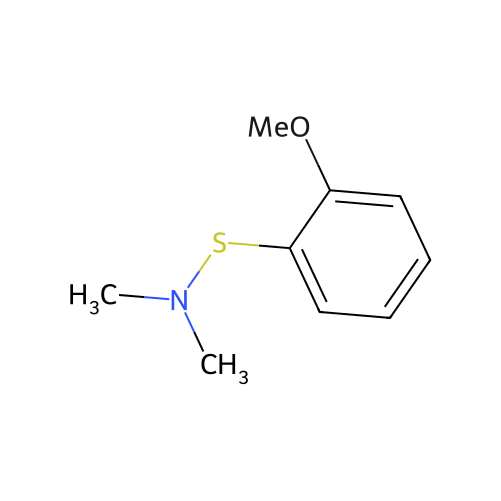 COc1ccccc1SN(C)C